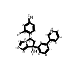 N#Cc1ccc([C@H]2C[C@](O)(c3cccc(-c4cccnc4)c3)c3cncn32)c(F)c1